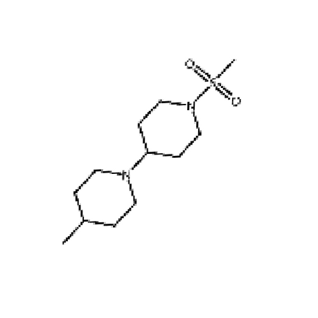 CC1CCN(C2CCN(S(C)(=O)=O)CC2)CC1